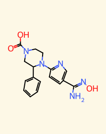 NC(=NO)c1ccc(N2CCN(C(=O)O)CC2c2ccccc2)nc1